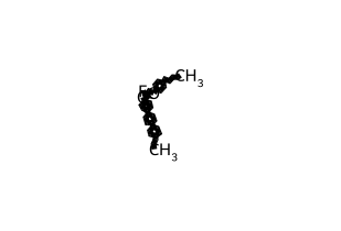 CCCCCC1CCC(OCC(F)(F)Oc2ccc(C3CCC(C4CCC(CCC)CC4)CC3)cc2)CC1